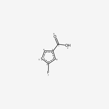 O=C(O)c1csc(F)c1